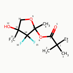 CCC(C)(C)C(=O)OC1(C)OCC(O)(C(F)(F)F)C1(F)F